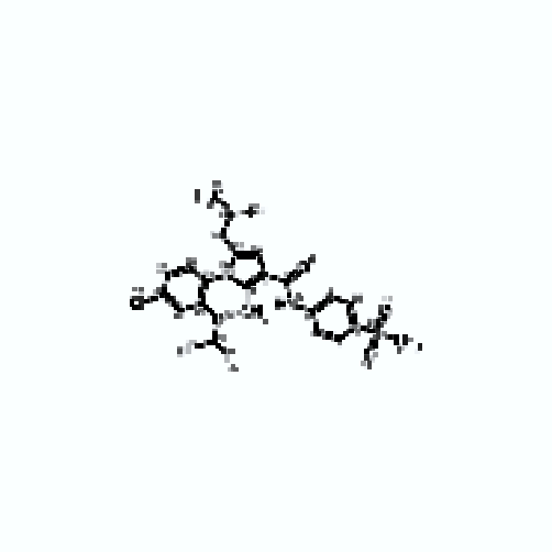 Cc1c(C(=O)Nc2ccc(S(C)(=O)=O)cc2)cc(C[C@@H](C)F)n1-c1ccc(Cl)cc1OC(F)F